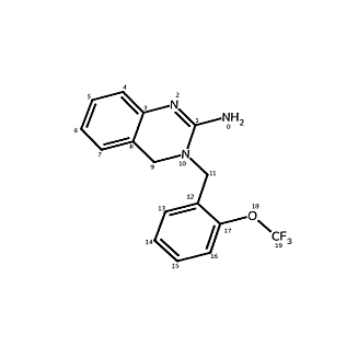 NC1=Nc2ccccc2CN1Cc1ccccc1OC(F)(F)F